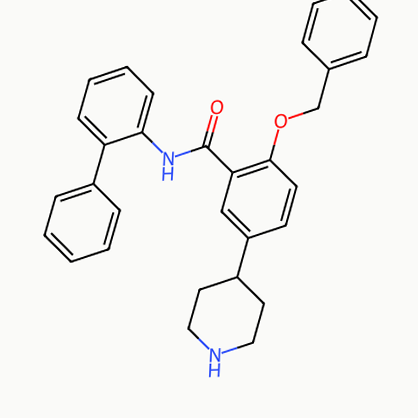 O=C(Nc1ccccc1-c1ccccc1)c1cc(C2CCNCC2)ccc1OCc1ccccc1